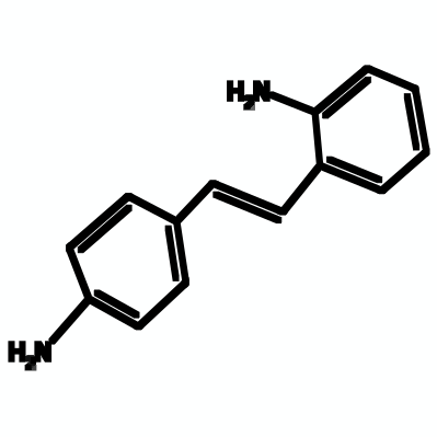 Nc1ccc(/C=C/c2ccccc2N)cc1